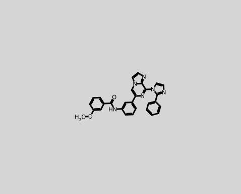 COc1cccc(C(=O)Nc2cccc(-c3cn4ccnc4c(-n4ccnc4-c4ccccc4)n3)c2)c1